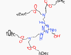 CCCCCCCCCCCCOC(=O)CCN(CCCNc1nc(NCCO)nc(NCCCN(CCC(=O)OCCCCCCCCCCCC)CCC(=O)OCCCCCCCCCCCC)n1)CCC(=O)OCCCCCCCCCCCC